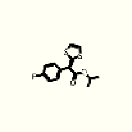 CC(C)OC(=O)C(=C1SC=CS1)c1ccc(F)cc1